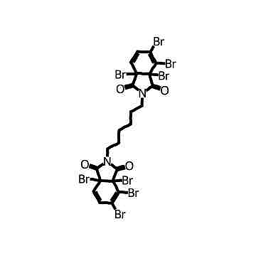 O=C1N(CCCCCCN2C(=O)C3(Br)C=CC(Br)=C(Br)C3(Br)C2=O)C(=O)C2(Br)C(Br)=C(Br)C=CC12Br